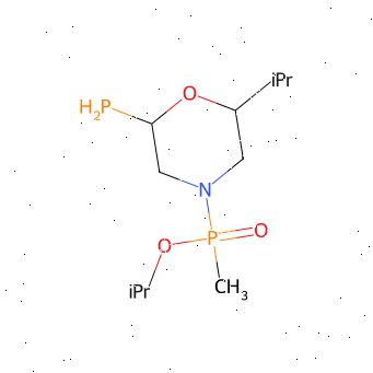 CC(C)OP(C)(=O)N1CC(P)OC(C(C)C)C1